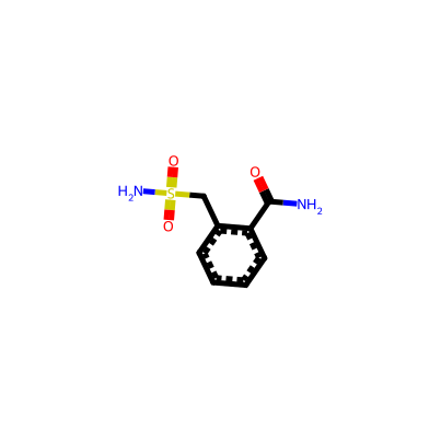 NC(=O)c1ccccc1CS(N)(=O)=O